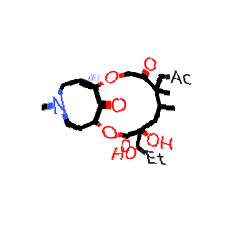 CCC(O)C1(O)CC(C)C(C)(CC(C)=O)C(=O)CO/C2=C/CN(C)CCC(OC1=O)C2=O